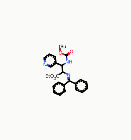 CCOC(=O)C(N=C(c1ccccc1)c1ccccc1)C(NC(=O)OC(C)(C)C)c1cccnc1